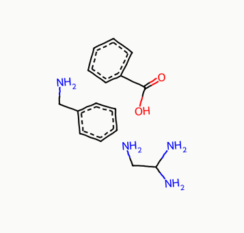 NCC(N)N.NCc1ccccc1.O=C(O)c1ccccc1